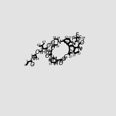 C=CC(=O)N1CC(OC[C@H](C(=O)N[C@H]2C[C@H]3CN(CCO3)c3ccc4c(c3)c(c(-c3cccnc3[C@H](C)OC)n4CC(F)(F)F)CC(C)(C)COC(=O)[C@@H]3CCCN(N3)C2=O)C(C)C)C1